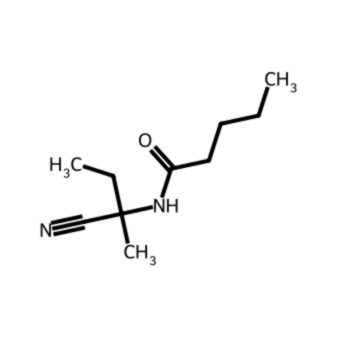 CCCCC(=O)NC(C)(C#N)CC